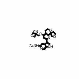 CC(=O)Nc1cc2c(-c3cc(OCC4(C#N)COC4)c4c(n3)C3(CCOC3)OCC4)c[nH]c2cn1